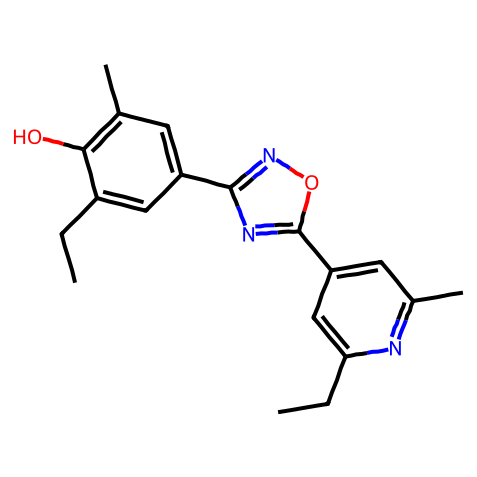 CCc1cc(-c2nc(-c3cc(C)c(O)c(CC)c3)no2)cc(C)n1